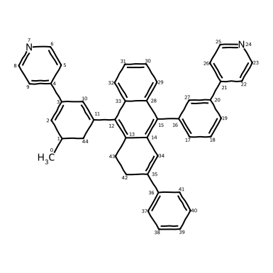 CC1C=C(c2ccncc2)C=C(c2c3c(c(-c4cccc(-c5ccncc5)c4)c4ccccc24)C=C(c2ccccc2)CC3)C1